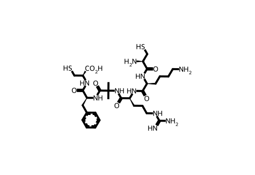 CC(C)(NC(=O)[C@H](CCCNC(=N)N)NC(=O)[C@H](CCCCN)NC(=O)[C@@H](N)CS)C(=O)N[C@@H](Cc1ccccc1)C(=O)N[C@@H](CS)C(=O)O